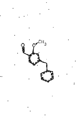 COc1cc(Cc2ccccc2)ccc1C=O